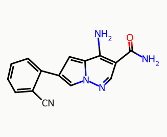 N#Cc1ccccc1-c1cc2c(N)c(C(N)=O)cnn2c1